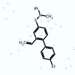 C=Cc1cc(SN(C)C(C)C)ccc1-c1ccc(CC)cc1